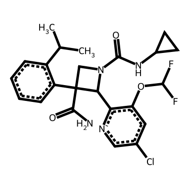 CC(C)c1ccccc1C1(C(N)=O)CN(C(=O)NC2CC2)C1c1ncc(Cl)cc1OC(F)F